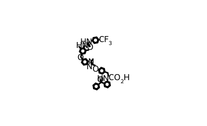 Cc1cc(Oc2ccc3nc(COc4ccc(C[C@H](Nc5ccccc5C(=O)c5ccccc5)C(=O)O)cc4)n(C)c3c2)cc(C)c1NC(=O)Nc1ccc(C(F)(F)F)cc1